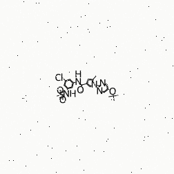 Cc1cc(C(=O)Nc2cc(Cl)cc(NS(C)(=O)=O)c2)cn1-c1ncc(OC(C)(C)C)cn1